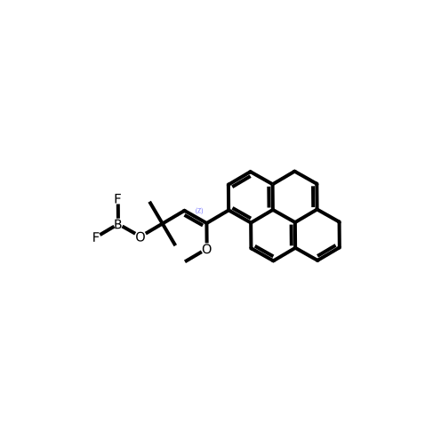 CO/C(=C\C(C)(C)OB(F)F)c1ccc2c3c4c(ccc13)C=CCC4=CC2